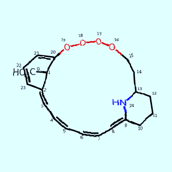 O=C(O)C1C2=CC=CC=CC=C3CCCC(CCOOOOC1=CC=C2)N3